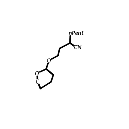 CCCCCC(C#N)CCOC1CCCCO1